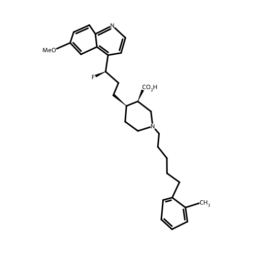 COc1ccc2nccc([C@H](F)CC[C@@H]3CCN(CCCCCc4ccccc4C)C[C@@H]3C(=O)O)c2c1